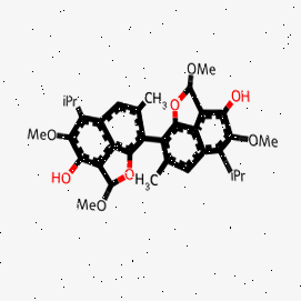 COc1c(O)c2c3c(c(-c4c(C)cc5c(C(C)C)c(OC)c(O)c6c5c4OC6OC)c(C)cc3c1C(C)C)OC2OC